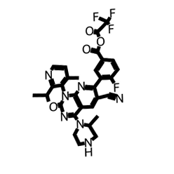 Cc1ccnc(C(C)C)c1-n1c(=O)nc(N2CCNCC2C)c2cc(C#N)c(-c3cc(C(=O)OC(=O)C(F)(F)F)ccc3F)nc21